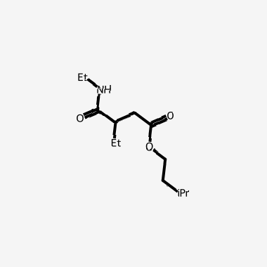 CCNC(=O)C(CC)CC(=O)OCCC(C)C